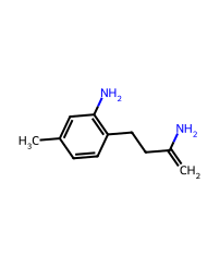 C=C(N)CCc1ccc(C)cc1N